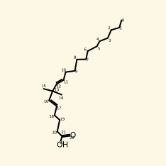 CCCCCCCCCCCC=CC(C)(C)C=CCCCC(=O)O